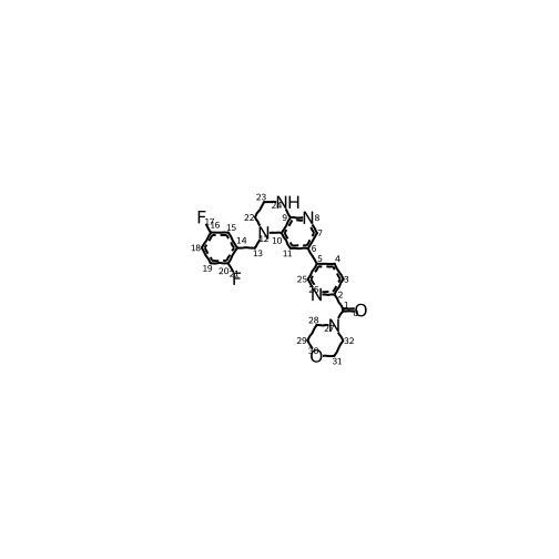 O=C(c1ccc(-c2cnc3c(c2)N(Cc2cc(F)ccc2F)CCN3)cn1)N1CCOCC1